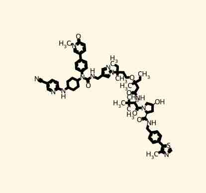 CCC(C)(CC(=O)N[C@H](C(=O)N1C[C@H](O)C[C@H]1C(=O)NCc1ccc(-c2scnc2C)cc1)C(C)(C)C)OCCC(C)(CC)n1cc(CNC(=O)N(c2ccc(-c3ccc(=O)n(C)c3)cc2)C2CCC(Nc3ccc(C#N)cn3)CC2)cn1